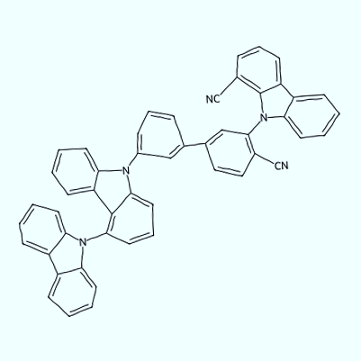 N#Cc1ccc(-c2cccc(-n3c4ccccc4c4c(-n5c6ccccc6c6ccccc65)cccc43)c2)cc1-n1c2ccccc2c2cccc(C#N)c21